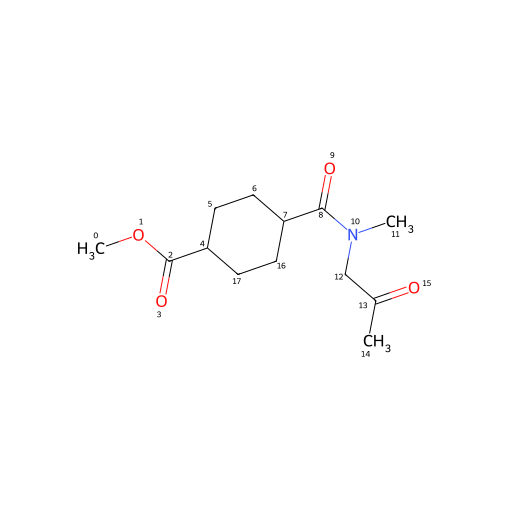 COC(=O)C1CCC(C(=O)N(C)CC(C)=O)CC1